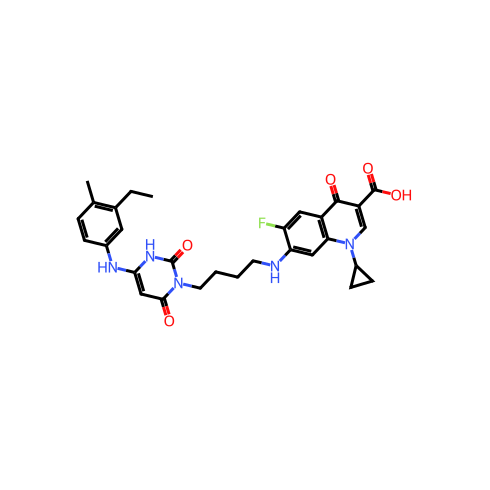 CCc1cc(Nc2cc(=O)n(CCCCNc3cc4c(cc3F)c(=O)c(C(=O)O)cn4C3CC3)c(=O)[nH]2)ccc1C